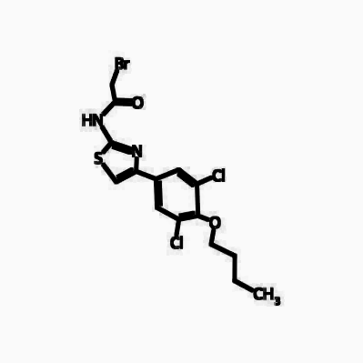 CCCCOc1c(Cl)cc(-c2csc(NC(=O)CBr)n2)cc1Cl